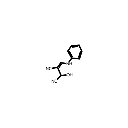 N#CC(=CNc1ccccc1)C(O)C#N